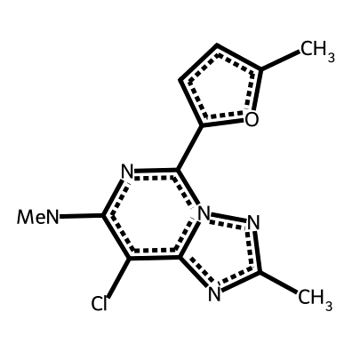 CNc1nc(-c2ccc(C)o2)n2nc(C)nc2c1Cl